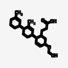 CC1=CC(C2CCC(C3C=CC(OCO)CC3CCC(=O)O)C=C2C)CCC1